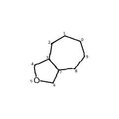 C1CCC2COCC2CC1